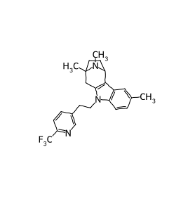 Cc1ccc2c(c1)c1c(n2CCc2ccc(C(F)(F)F)nc2)CC2(C)CCC1N2C